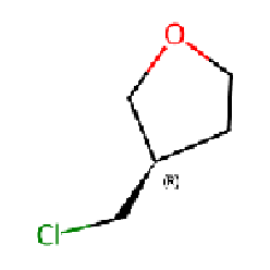 ClC[C@@H]1CCOC1